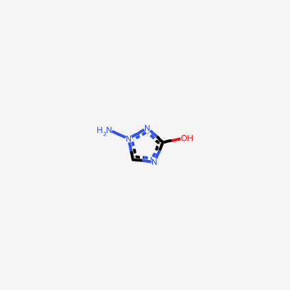 Nn1cnc(O)n1